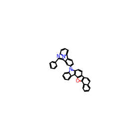 c1ccc(-c2nc3cccc4c5ccc(-n6c7ccccc7c7c8oc9c%10ccccc%10ccc9c8ccc76)cc5c2n34)cc1